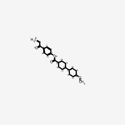 C=CC(=O)c1ccc(OC(=O)C2CCC(C3CCC(OC)CC3)CC2)cc1